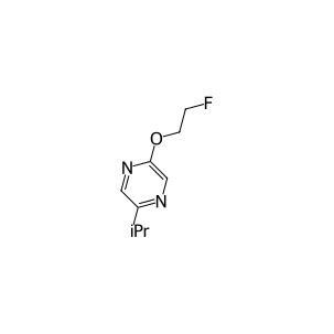 CC(C)c1cnc(OCCF)cn1